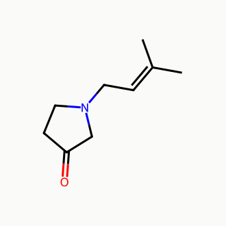 CC(C)=CCN1CCC(=O)C1